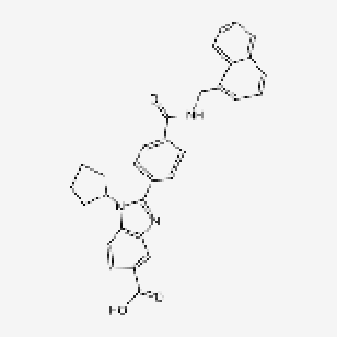 O=C(O)c1ccc2c(c1)nc(-c1ccc(C(=O)NCc3cccc4ccccc34)cc1)n2C1CCCC1